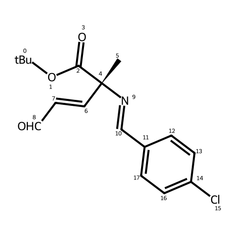 CC(C)(C)OC(=O)[C@@](C)(C=CC=O)N=Cc1ccc(Cl)cc1